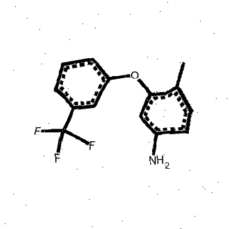 Cc1ccc(N)cc1Oc1cccc(C(F)(F)F)c1